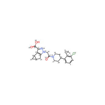 Cc1c(Cl)cccc1C1CCN(C(=O)Cn2nc(C(=O)O)c3c2CC2CC32)CC1